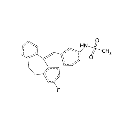 CS(=O)(=O)Nc1cccc(C=C2c3ccccc3CCc3cc(F)ccc32)c1